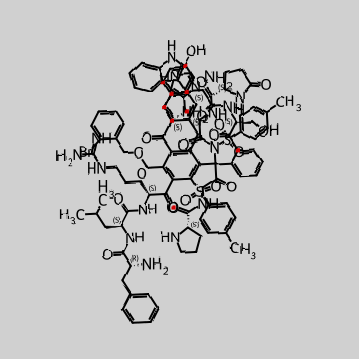 Cc1ccc(S(=O)(=O)c2c(C(=O)[C@H](CCCNC(=N)N)NC(=O)[C@H](CC(C)C)NC(=O)[C@H](N)Cc3ccccc3)c(C(=O)OCc3ccccc3Br)c(C(=O)[C@@H](N)Cc3ccc(O)cc3)c(Cc3ccccc3)c2C(C(=O)CNC(=O)[C@@H]2CCCN2)(c2ccccc2C(=O)[C@H](CO)NC(=O)[C@@H](N)Cc2c[nH]c3ccccc23)N(C(=O)[C@H](Cc2c[nH]cn2)NC(=O)[C@@H]2CCC(=O)N2)S(=O)(=O)c2ccc(C)cc2)cc1